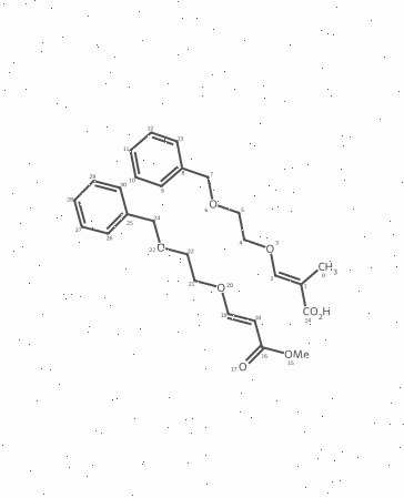 CC(=COCCOCc1ccccc1)C(=O)O.COC(=O)C=COCCOCc1ccccc1